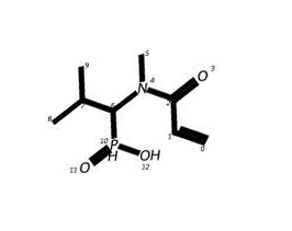 C=CC(=O)N(C)C(C(C)C)[PH](=O)O